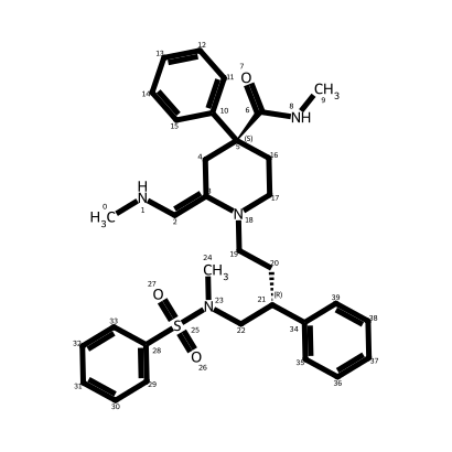 CNC=C1C[C@](C(=O)NC)(c2ccccc2)CCN1CC[C@@H](CN(C)S(=O)(=O)c1ccccc1)c1ccccc1